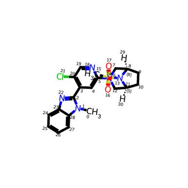 Cn1c(-c2cc(N3C[C@H]4CC[C@@H](C3)N4S(C)(=O)=O)ncc2Cl)nc2ccccc21